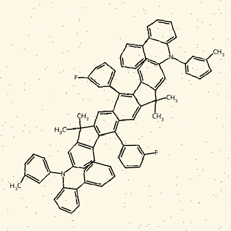 Cc1cccc(N(c2ccc3c(c2)C(C)(C)c2cc4c(-c5cccc(F)c5)c5c(cc4c(-c4cccc(F)c4)c2-3)C(C)(C)c2cc(N(c3cccc(C)c3)c3ccccc3-c3ccccc3)ccc2-5)c2ccccc2-c2ccccc2)c1